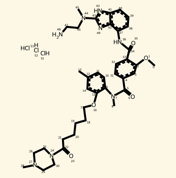 COc1cc(C(=O)N(C)c2ccc(C)cc2OCCCCCC(=O)N2CCN(C)CC2)ccc1C(=O)Nc1cccc2[nH]c(N(C)CCN)nc12.Cl.Cl.Cl